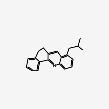 CC(C)Cc1cccc2nc3c(cc12)CCc1ccccc1-3